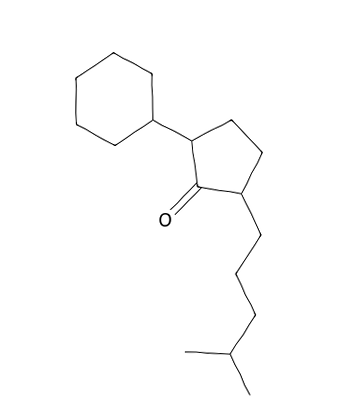 CC(C)CCCC1CCC(C2CCCCC2)C1=O